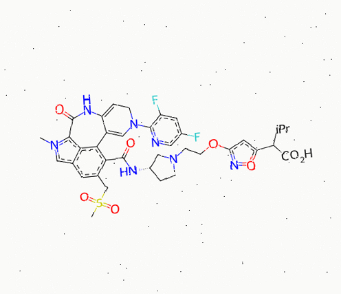 CC(C)C(C(=O)O)c1cc(OCCN2CC[C@H](NC(=O)c3c(CS(C)(=O)=O)cc4cn(C)c5c4c3C3=CN(c4ncc(F)cc4F)CC=C3NC5=O)C2)no1